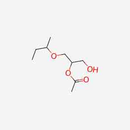 CCC(C)OCC(CO)OC(C)=O